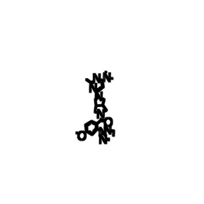 C=NN(/N=C\C)c1cc(OC)ccc1C(=O)N1CC2CN(c3cc(N(C)C)nc(C)n3)CC2C1